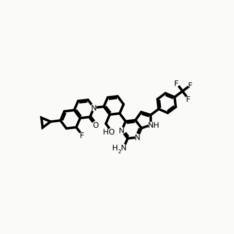 Nc1nc(C2CC=CC(n3ccc4c(c3=O)C(F)CC(C3CC3)=C4)=C2CO)c2cc(-c3ccc(C(F)(F)F)cc3)[nH]c2n1